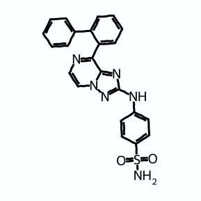 NS(=O)(=O)c1ccc(Nc2nc3c(-c4ccccc4-c4ccccc4)nccn3n2)cc1